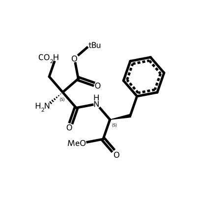 COC(=O)[C@H](Cc1ccccc1)NC(=O)[C@@](N)(CC(=O)O)C(=O)OC(C)(C)C